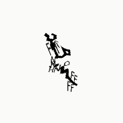 C=C/C=C(\C=C/C)C(F)(F)/C(CC1CCC1)=N/N(C)CNC(=O)CCCC(F)(F)C(C)(F)F